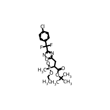 CCOP(C)(=O)C(Cc1nc(C(F)(F)c2ccc(Cl)cc2)no1)C(=O)OC(C)(C)C